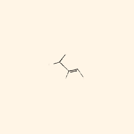 OC(I)C(I)=CI